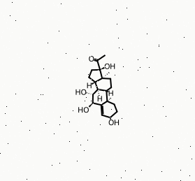 CC(=O)[C@@]1(O)CC[C@H]2[C@@H]3[C@@H](O)[C@H](O)C4=C[C@H](O)CC[C@]4(C)[C@H]3CC[C@@]21C